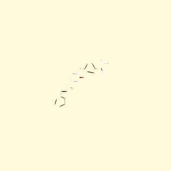 CN(C)C(=N)c1ccc(CN2CCN(S(=O)(=O)c3cc4ccc(Cl)cc4s3)CC2=O)cc1